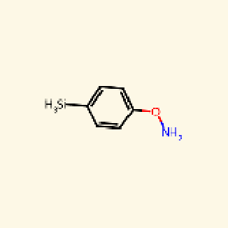 NOc1ccc([SiH3])cc1